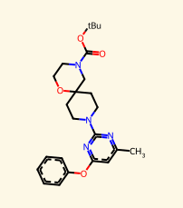 Cc1cc(Oc2ccccc2)nc(N2CCC3(CC2)CN(C(=O)OC(C)(C)C)CCO3)n1